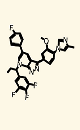 CCC(c1cc(F)c(F)c(F)c1)n1cc(-c2ccc(F)cc2)cc2c(-c3ccc(-n4cnc(C)c4)c(OC)c3)nnc1-2